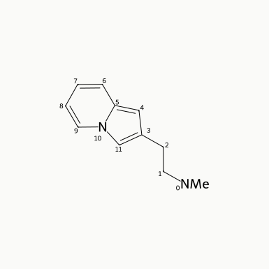 CNCCc1cc2ccccn2c1